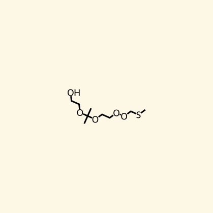 CSCOOCCOC(C)(C)OCCO